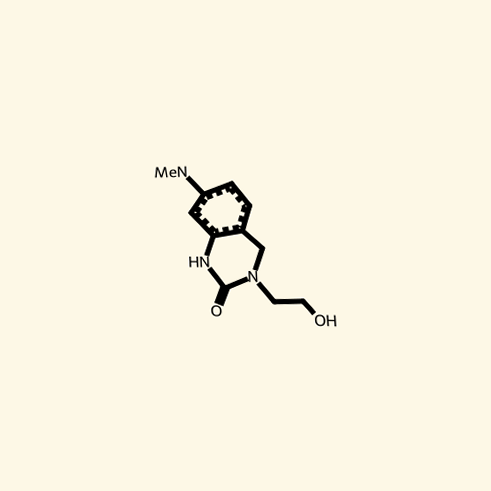 CNc1ccc2c(c1)NC(=O)N(CCO)C2